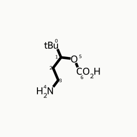 CC(C)(C)C(CCN)OC(=O)O